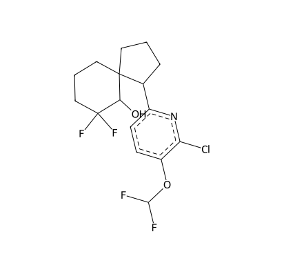 OC1C(F)(F)CCCC12CCCC2c1ccc(OC(F)F)c(Cl)n1